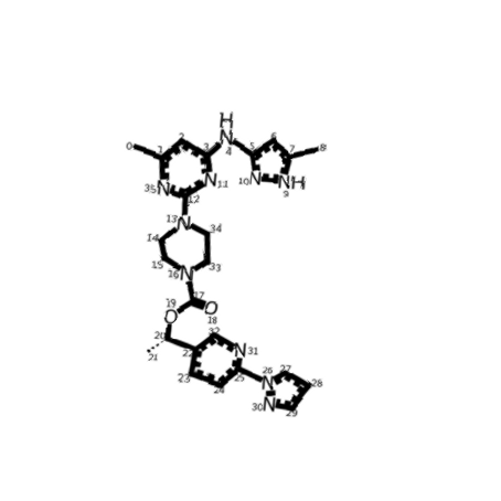 Cc1cc(Nc2cc(C)[nH]n2)nc(N2CCN(C(=O)O[C@@H](C)c3ccc(-n4cccn4)nc3)CC2)n1